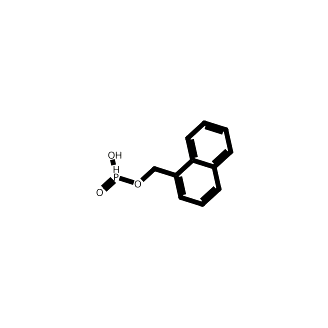 O=[PH](O)OCc1cccc2ccccc12